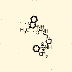 Cc1cc(NC(=O)NCCN2CCC(NS(=O)(=O)c3ccccc3C)C2)c2ccccc2n1